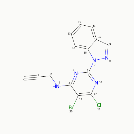 C#CCNc1nc(-n2ncc3ccccc32)nc(Cl)c1Br